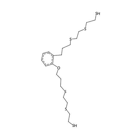 SCCSCCSCCCOc1ccccc1CCCSCCSCCS